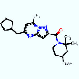 COC1CCN(C(=O)c2cc3nc(CC4CCCC4)cc(C(F)(F)F)n3n2)C(C)(C)C1